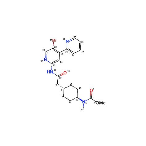 COC(=O)N(C)[C@H]1CC[C@H](CC(=O)Nc2cc(-c3ccccn3)c(Br)cn2)CC1